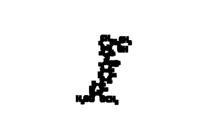 CCc1cc(N2Cc3nc(-c4cnc(OC)c(OC)c4)ccc3C2=O)nn1C[C@H](C)O